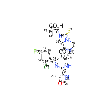 CCOC(=O)C1=C(CN2CCN3C(=S)N(CC(C)(C)C(=O)O)CC3C2)NC(c2ncoc2C)=NC1c1ccc(F)cc1Cl